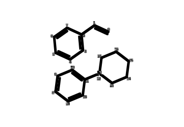 C=Cc1ccccc1.c1ccc(N2CCCCC2)cc1